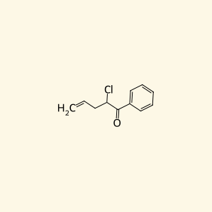 C=CCC(Cl)C(=O)c1ccccc1